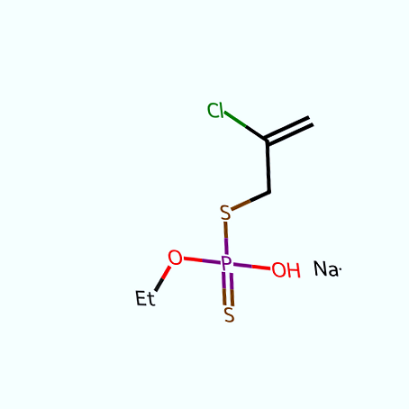 C=C(Cl)CSP(O)(=S)OCC.[Na]